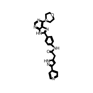 O=C(Cc1cc(-c2ccncc2)n[nH]1)Nc1ccc(-c2nc3c(N4CCOCC4)ncnc3[nH]2)cc1